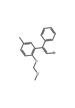 COCOc1ccc(C)cc1/C(=C/Br)c1ccccc1